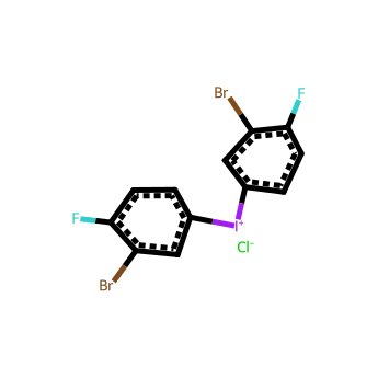 Fc1ccc([I+]c2ccc(F)c(Br)c2)cc1Br.[Cl-]